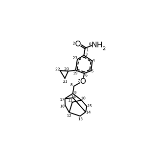 NC(=O)c1ccc(OCC2C3CC4CC(C3)CC2C4)c(C2CC2)c1